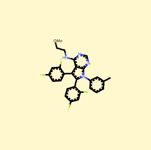 COCCNc1ncnc2c1c(-c1ccc(F)cc1F)c(-c1ccc(F)cc1F)n2-c1cccc(C)c1